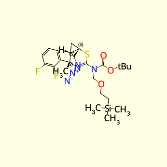 CC(C)(C)OC(=O)N(COCC[Si](C)(C)C)C1=N[C@](C)(c2cccc(F)c2F)[C@@H]2C[C@]2(CN=[N+]=[N-])S1